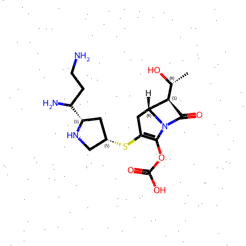 C[C@@H](O)[C@H]1C(=O)N2C(OC(=O)O)=C(S[C@@H]3CN[C@H](C(N)CCN)C3)C[C@H]12